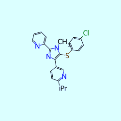 CC(C)c1ccc(-c2nc(-c3ccccn3)n(C)c2Sc2ccc(Cl)cc2)cn1